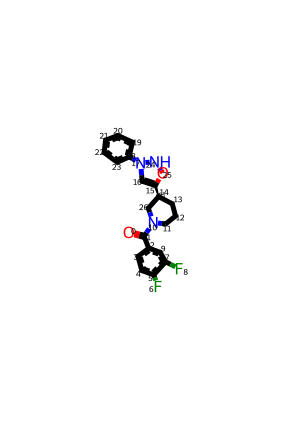 O=C(c1ccc(F)c(F)c1)N1CCC[C@H](C2=CN(c3ccccc3)NO2)C1